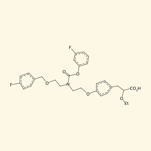 CCOC(Cc1ccc(OCCN(CCOCc2ccc(F)cc2)C(=O)Oc2cccc(F)c2)cc1)C(=O)O